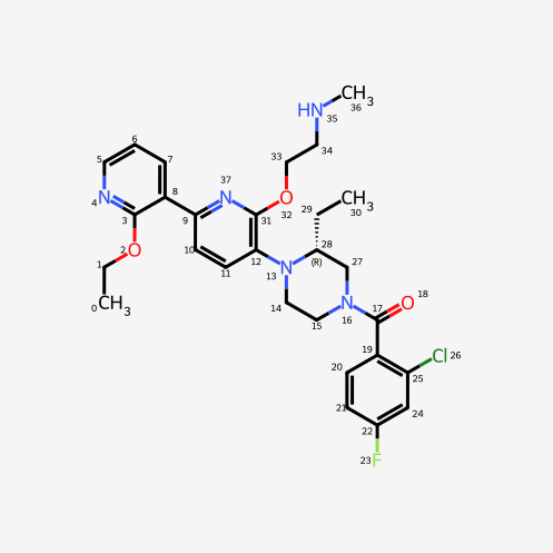 CCOc1ncccc1-c1ccc(N2CCN(C(=O)c3ccc(F)cc3Cl)C[C@H]2CC)c(OCCNC)n1